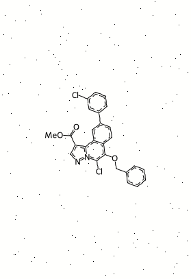 COC(=O)c1cnn2c(Cl)c(OCc3ccccc3)c3ccc(-c4cccc(Cl)c4)cc3c12